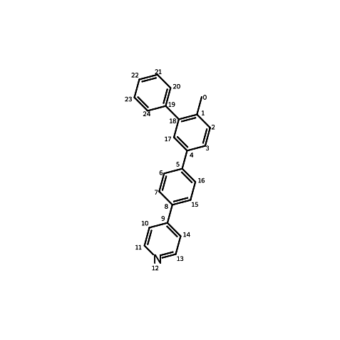 Cc1ccc(-c2ccc(-c3ccncc3)cc2)cc1-c1ccccc1